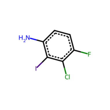 Nc1ccc(F)c(Cl)c1I